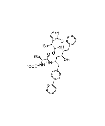 CC[C@H](C)[C@@H](C(=O)N[C@@H](Cc1ccccc1)[C@@H](O)C[C@@H](Cc1ccc(-c2ccccn2)cc1)NC(=O)[C@@H](NC(=O)[O-])C(C)(C)C)[N+]1=CC=NC1=O